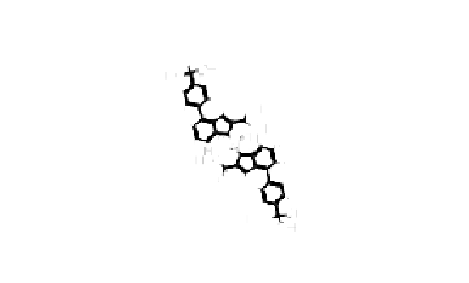 CC(C)C1=Cc2c(-c3ccc(C(C)(C)C)cc3)cccc2C1[Si](C)(C)C1C(C(C)C)=Cc2c(-c3ccc(C(C)(C)C)cc3)cccc21